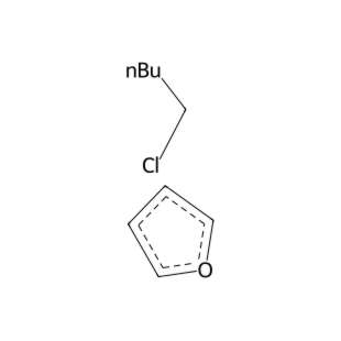 CCCCCCl.c1ccoc1